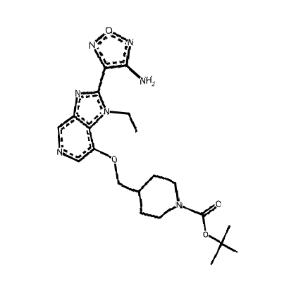 CCn1c(-c2nonc2N)nc2cncc(OCC3CCN(C(=O)OC(C)(C)C)CC3)c21